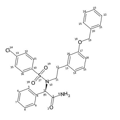 NC(=O)[C@@H](c1ccccc1)N(CCc1cccc(OCc2ccccc2)c1)S(=O)(=O)c1ccc(Cl)cc1